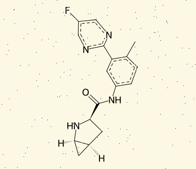 Cc1ccc(NC(=O)[C@H]2C[C@H]3C[C@H]3N2)cc1-c1ncc(F)cn1